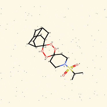 CC(C)S(=O)(=O)N1CCC2(CC1)OOC1(OO2)C2CC3CC(C2)CC1C3